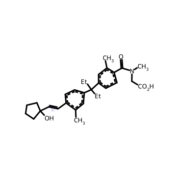 CCC(CC)(c1ccc(/C=C/C2(O)CCCC2)c(C)c1)c1ccc(C(=O)N(C)CC(=O)O)c(C)c1